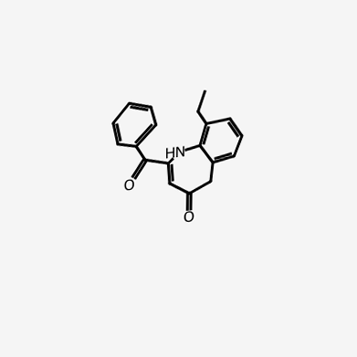 CCc1cccc2c1NC(C(=O)c1ccccc1)=CC(=O)C2